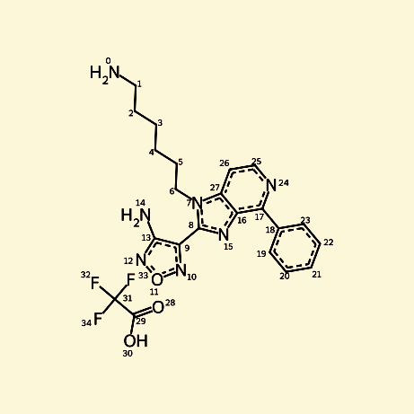 NCCCCCCn1c(-c2nonc2N)nc2c(-c3ccccc3)nccc21.O=C(O)C(F)(F)F